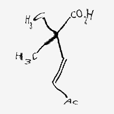 CC(=O)C=CC(C)(C)C(=O)O